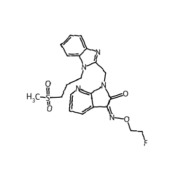 CS(=O)(=O)CCCn1c(CN2C(=O)/C(=N\OCCF)c3cccnc32)nc2ccccc21